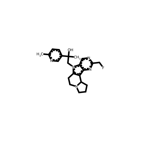 Cc1ccc(C(C)(O)Cn2c3c(c4nc(CF)ncc42)C2CCCN2CC3)cn1